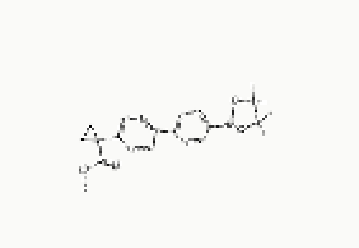 COC(=O)C1(c2ccc(-c3ccc(B4OC(C)(C)C(C)(C)O4)cc3)nc2)CC1